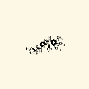 CCC(C)NC(=S)Nc1ccc2nc(Nc3cc(OC)c(OC)c(OC)c3)n(CCN)c2n1